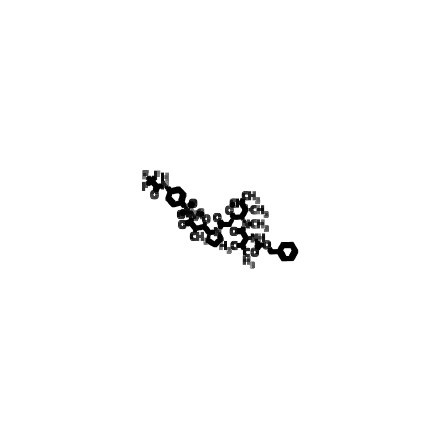 CC[C@H](C)[C@@H]([C@@H](CC(=O)N1CCC[C@H]1[C@H](OC)[C@@H](C)C(=O)NS(=O)(=O)c1ccc(NC(=O)C(F)(F)F)cc1)OC)N(C)C(=O)[C@@H](NC(=O)OCc1ccccc1)C(C)C